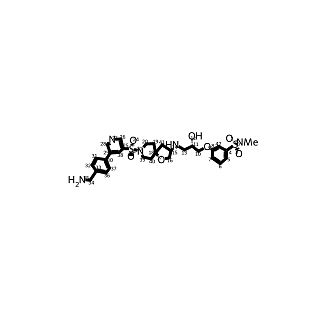 CNS(=O)(=O)c1cccc(OC[C@@H](O)CNC2COC3(CCN(S(=O)(=O)c4cncc(-c5ccc(CN)cc5)c4)CC3)C2)c1